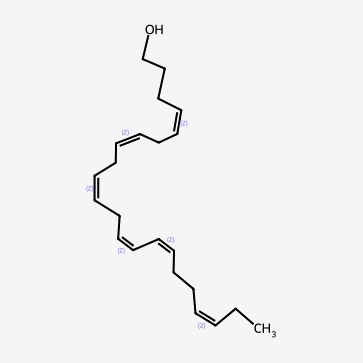 CC/C=C\CC/C=C\C=C/C/C=C\C/C=C\C/C=C\CCCO